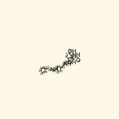 O=CC1Nc2c(O)ccc([C@@H](O)CNCCc3ccc(CNCCc4ccccc4)cc3)c2S1